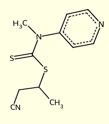 CC(CC#N)SC(=S)N(C)c1ccncc1